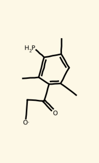 Cc1cc(C)c(C(=O)C[O])c(C)c1P